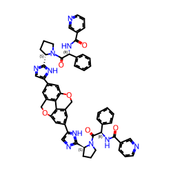 O=C(N[C@@H](C(=O)N1CCC[C@H]1c1ncc(-c2cc3c4c(c2)OCc2cc(-c5cnc([C@@H]6CCCN6C(=O)[C@H](NC(=O)c6cccnc6)c6ccccc6)[nH]5)cc(c2-4)OC3)[nH]1)c1ccccc1)c1cccnc1